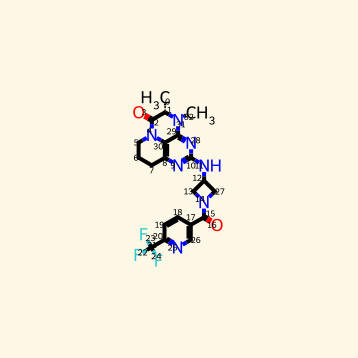 C[C@H]1C(=O)N2CCCc3nc(NC4CN(C(=O)c5ccc(C(F)(F)F)nc5)C4)nc(c32)N1C